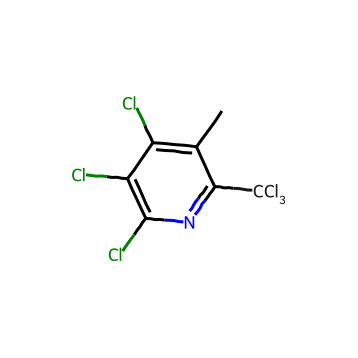 Cc1c(C(Cl)(Cl)Cl)nc(Cl)c(Cl)c1Cl